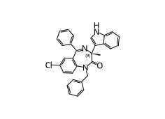 C[C@]1(c2c[nH]c3ccccc23)N=C(c2ccccc2)c2cc(Cl)ccc2N(Cc2ccccc2)C1=O